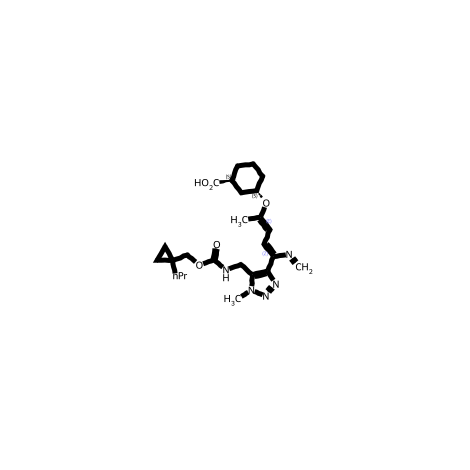 C=N/C(=C\C=C(/C)O[C@H]1CCC[C@H](C(=O)O)C1)c1nnn(C)c1CNC(=O)OCC1(CCC)CC1